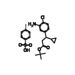 CC(C)(C)OC(=O)CC(c1ccc(Cl)c(N)c1)C1CC1.Cc1ccc(S(=O)(=O)O)cc1